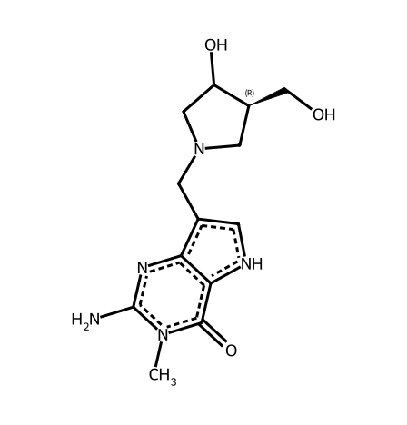 Cn1c(N)nc2c(CN3CC(O)[C@@H](CO)C3)c[nH]c2c1=O